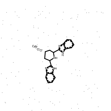 [Cl-].[Cl-].[Cl-].[Cr+3].c1ccc2[nH]c(C3CCCC(c4nc5ccccc5[nH]4)N3)nc2c1